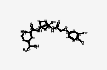 CC(O)C1CCNC(C(=O)NC23CC(C2)[C@@H](NC(=O)COc2ccc(Cl)c(F)c2)C3)C1